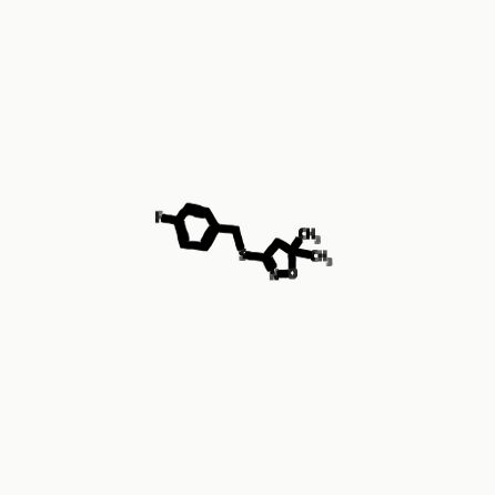 CC1(C)CC(SCc2ccc(F)cc2)=NO1